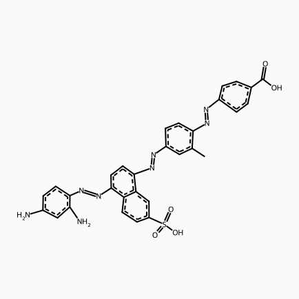 Cc1cc(N=Nc2ccc(N=Nc3ccc(N)cc3N)c3ccc(S(=O)(=O)O)cc23)ccc1N=Nc1ccc(C(=O)O)cc1